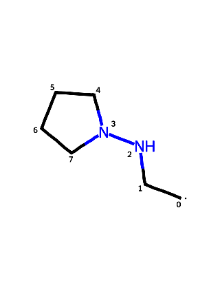 [CH2]CNN1CCCC1